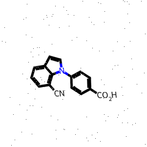 N#Cc1cccc2ccn(-c3ccc(C(=O)O)cc3)c12